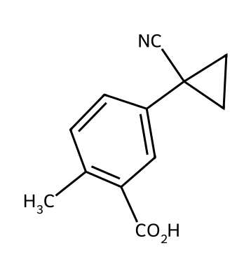 Cc1ccc(C2(C#N)CC2)cc1C(=O)O